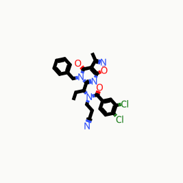 CCC(c1nc2onc(C)c2c(=O)n1Cc1ccccc1)N(CCC#N)C(=O)c1ccc(Cl)c(Cl)c1